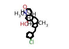 CN1C(=O)C=C[C@@]2(C)C1CC(O)[C@@H]1[C@H]2CC[C@]2(C)CC(Cc3cccc(Cl)c3)C[C@@H]12